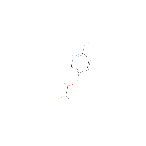 Nc1ccc(OC(F)C(F)F)cn1